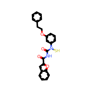 O=C(NC(=O)N(S)c1cccc(OCCc2ccccc2)c1)c1cc2ccccc2o1